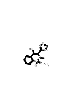 CN1C(c2nnn[nH]2)=C(O)c2ccccc2S1(=O)=O.O